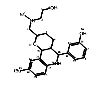 CCN(CCO)CC1CCC2C(c3cccc(O)c3)Nc3ccc(C(C)(C)C)cc3C2O1